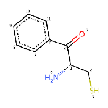 N[C@@H](CS)C(=O)c1ccccc1